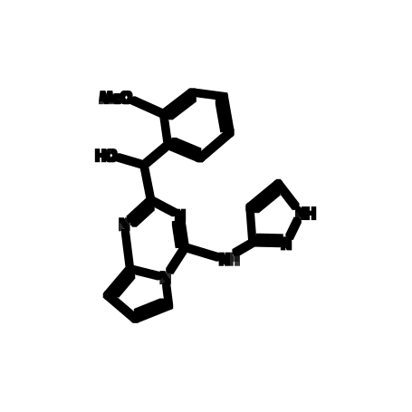 COc1ccccc1C(O)c1nc(Nc2cc[nH]n2)n2cccc2n1